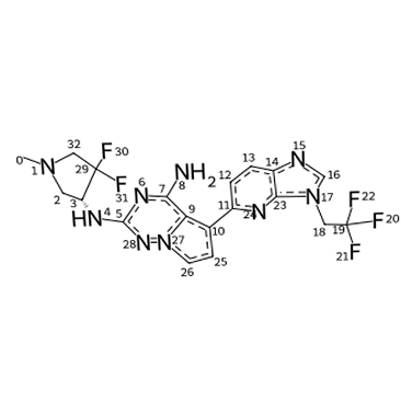 CN1C[C@@H](Nc2nc(N)c3c(-c4ccc5ncn(CC(F)(F)F)c5n4)ccn3n2)C(F)(F)C1